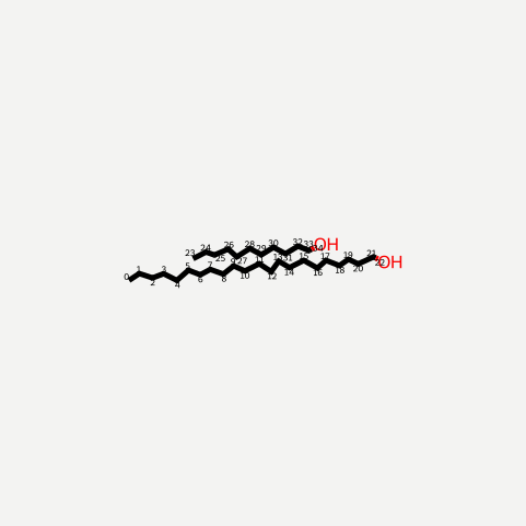 CCCCCCCCCCCCCCCCCCCCCCO.CCCCCCCCCCCO